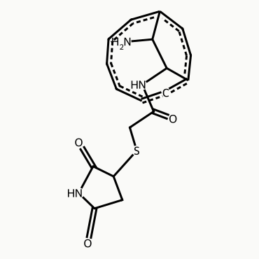 NC1c2ccccccc(cc2)C1NC(=O)CSC1CC(=O)NC1=O